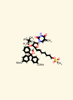 COc1ccc(C(OC[C@@]2(C=CCCCCCOS(C)(=O)=O)O[C@@H](n3cc(C)c(=O)[nH]c3=O)CC2O[SiH2]C(C)(C)C(C)C)(c2ccccc2)c2ccc(OC)cc2)cc1